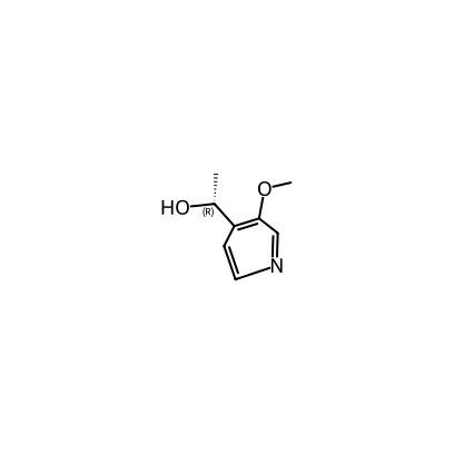 COc1cnccc1[C@@H](C)O